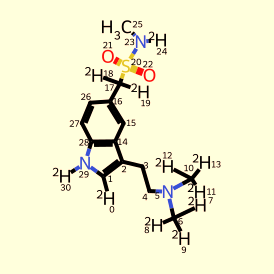 [2H]c1c(CCN(C([2H])([2H])[2H])C([2H])([2H])[2H])c2cc(C([2H])([2H])S(=O)(=O)N([2H])C)ccc2n1[2H]